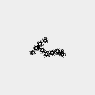 c1ccc(-c2ccc3c4ccc(-c5ccccc5)cc4n(-c4ccc(-c5cccc(-c6ccc(-c7ccc8sc9ccccc9c8c7)cc6)c5)cc4)c3c2)cc1